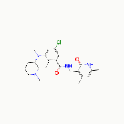 Cc1cc(C)c(CNC(=O)c2cc(Cl)cc(N(C)C3CCCN(C)C3)c2C)c(=O)[nH]1